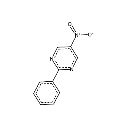 O=[N+]([O-])c1cnc(-c2ccccc2)nc1